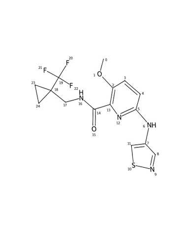 COc1ccc(Nc2cnsc2)nc1C(=O)NCC1(C(F)(F)F)CC1